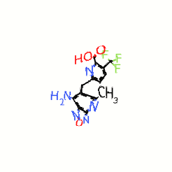 Cc1nc2nonc2c(N)c1Cc1ccc(C(F)(F)F)c(C(=O)O)n1